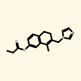 CCC(=O)Oc1ccc2c(c1)C(C)=C(Cn1ccnc1)CC2